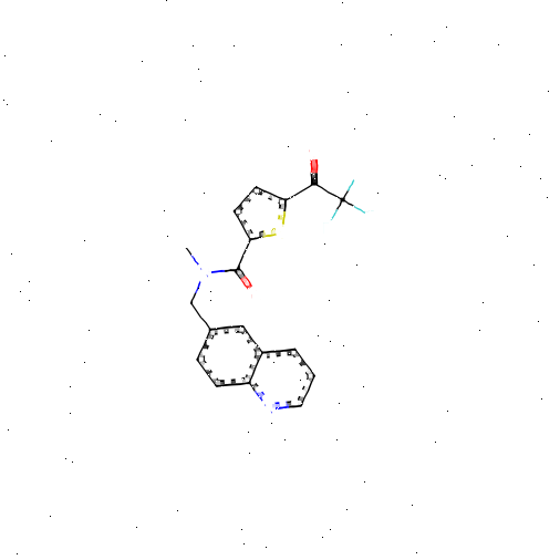 CN(Cc1ccc2ncccc2c1)C(=O)c1ccc(C(=O)C(F)(F)F)s1